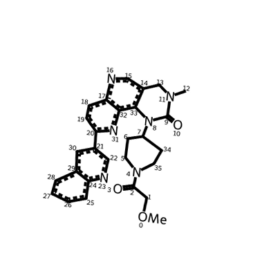 COCC(=O)N1CCC(N2C(=O)N(C)Cc3cnc4ccc(-c5cnc6ccccc6c5)nc4c32)CC1